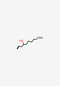 C=CCC(O)CCCCCOC